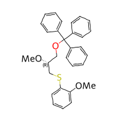 COc1ccccc1SC[C@@H](COC(c1ccccc1)(c1ccccc1)c1ccccc1)OC